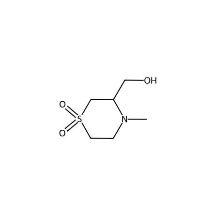 CN1CCS(=O)(=O)CC1CO